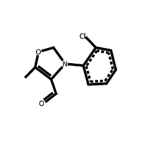 CC1=C([C]=O)N(c2ccccc2Cl)CO1